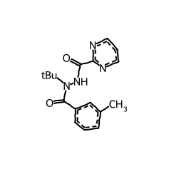 Cc1cccc(C(=O)N(NC(=O)c2ncccn2)C(C)(C)C)c1